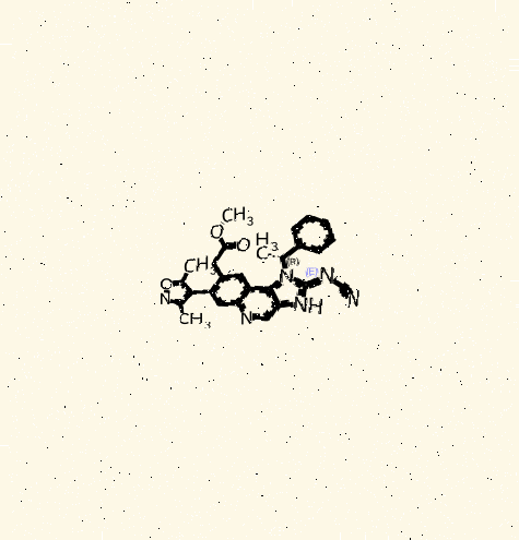 COC(=O)Cc1cc2c(cc1-c1c(C)noc1C)ncc1[nH]/c(=N\C#N)n([C@H](C)c3ccccc3)c12